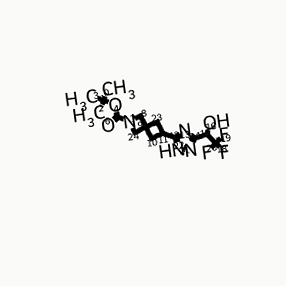 CC(C)(C)OC(=O)N1CC2(CC(c3nc(C(O)C(F)(F)F)n[nH]3)C2)C1